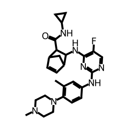 Cc1cc(Nc2ncc(F)c(NC3C4C=CC(C4)C3C(=O)NC3CC3)n2)ccc1N1CCN(C)CC1